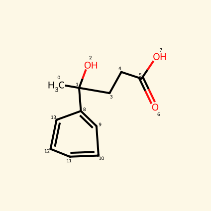 CC(O)(CCC(=O)O)c1ccccc1